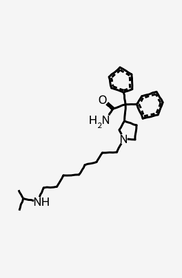 CC(C)NCCCCCCCCN1CCC(C(C(N)=O)(c2ccccc2)c2ccccc2)C1